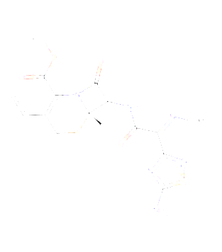 C=CC1=C(C(=O)OC=O)N2C(=O)C(NC(=O)C(=NOC)c3nsc(N)n3)[C@@H]2SC1